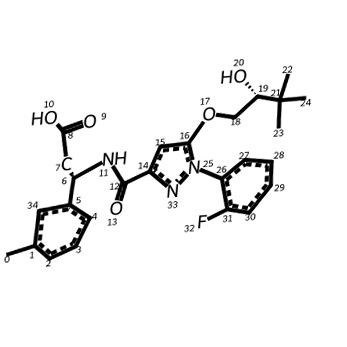 Cc1cccc([C@H](CC(=O)O)NC(=O)c2cc(OC[C@H](O)C(C)(C)C)n(-c3ccccc3F)n2)c1